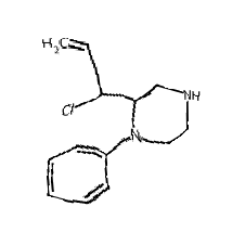 C=CC(Cl)C1CNCCN1c1ccccc1